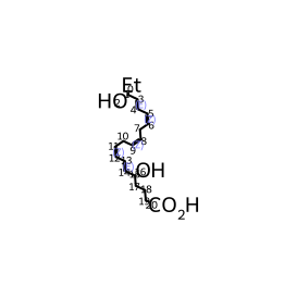 CCC(O)/C=C/C=C\C/C=C\C/C=C\C=C\C(O)CCCC(=O)O